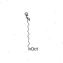 CCCCCCCCCCCCCCCCCCCN=C=O